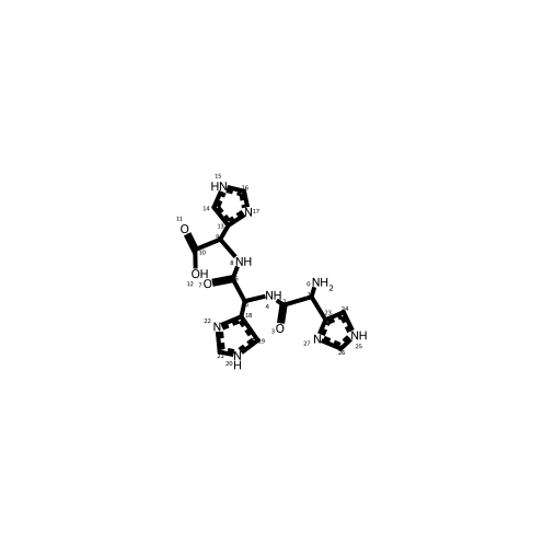 NC(C(=O)NC(C(=O)NC(C(=O)O)c1c[nH]cn1)c1c[nH]cn1)c1c[nH]cn1